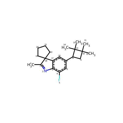 CC1=Nc2c(F)cc(C3CC(C)(C)C3(C)C)cc2C12CCCC2